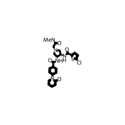 CNC(=O)CN1C[C@@H](NC(=O)c2ccc(-n3ccccc3=O)cc2)[C@H](NC(=O)c2ccc(Cl)s2)C1